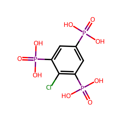 O=P(O)(O)c1cc(P(=O)(O)O)c(Cl)c(P(=O)(O)O)c1